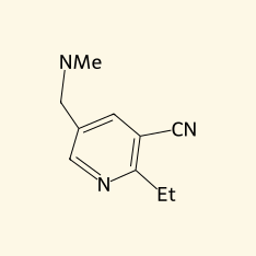 CCc1ncc(CNC)cc1C#N